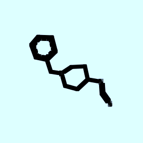 S=C=NC1CCN(Cc2ccccc2)CC1